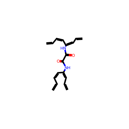 C=C/C=C\C(=C/C=C)NC(=O)C(=O)NC(/C=C\C=C)=C/C=C